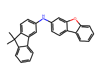 CC1(C)c2ccccc2-c2cc(Nc3ccc4c(c3)oc3ccccc34)ccc21